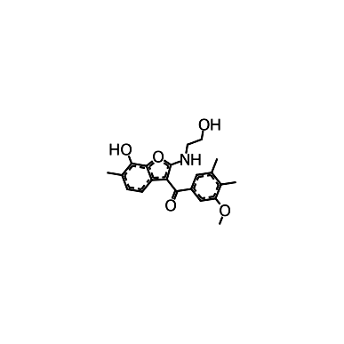 COc1cc(C(=O)c2c(NCCO)oc3c(O)c(C)ccc23)cc(C)c1C